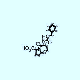 O=C(N[C@H]1CCSC2CCC(C(=O)O)N2C1=O)OCc1ccccc1